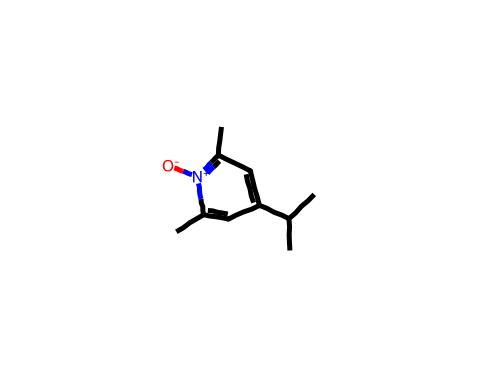 Cc1cc(C(C)C)cc(C)[n+]1[O-]